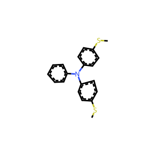 CSc1ccc(N(c2ccccc2)c2ccc(SC)cc2)cc1